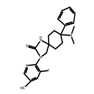 CN(C)C1(c2ccccc2)CCC2(CC1)CN(c1ncc(C#N)cc1F)C(=O)N2